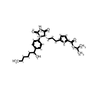 CCCCCC(O)c1ccc(N2C(=O)NC(=O)[C@@H]2CCCc2ccc(C(=O)OC(C)C)s2)cc1